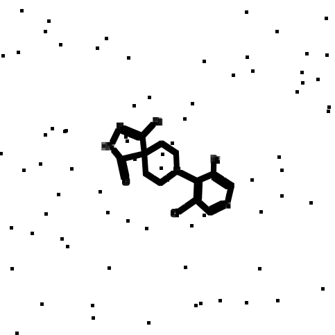 CCC1=NNC(=O)C12CCN(c1c(Cl)cncc1Br)CC2